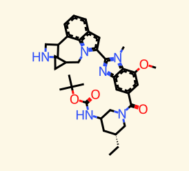 CC[C@@H]1CC(NC(=O)OC(C)(C)C)CN(C(=O)c2cc(OC)c3c(c2)nc(-c2cc4cccc(C5CNC5)c4n2CC2CC2)n3C)C1